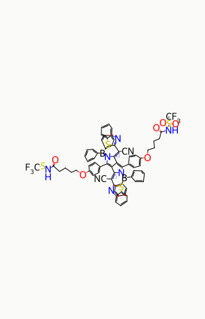 N#C/C(c1nc2ccccc2s1)=c1\c2c(-c3ccc(OCCCCC(=O)NS(=O)(=O)C(F)(F)F)cc3)n(B(c3ccccc3)c3ccccc3)/c(=C(/C#N)c3nc4ccccc4s3)c2c(-c2ccc(OCCCCC(=O)NSC(F)(F)F)cc2)n1B(c1ccccc1)c1ccccc1